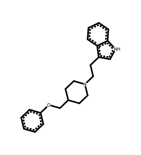 c1ccc(OCC2CCN(CCc3c[nH]c4ccccc34)CC2)cc1